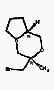 C[C@]1(CBr)CN2CCC[C@@H]2CO1